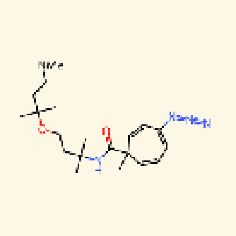 CNCCC(C)(C)OCCC(C)(C)NC(=O)C1(C)C=CC=C(N=[N+]=[N-])C=C1